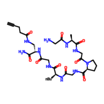 C#CCCC(=O)NC[C@H](NC(=O)CNC(=O)[C@H](CCCC)NC(=O)CNC(=O)[C@@H]1CCCN1C(=O)CNC(=O)[C@H](C)NC(=O)CN)C(N)=O